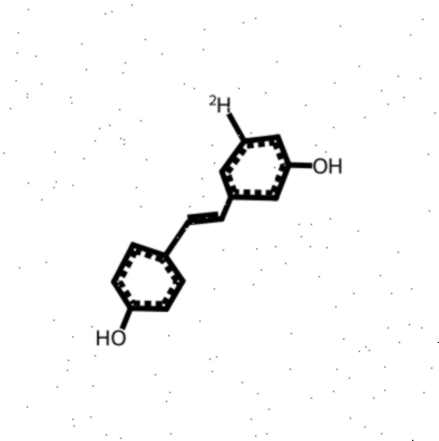 [2H]c1cc(O)cc(C=Cc2ccc(O)cc2)c1